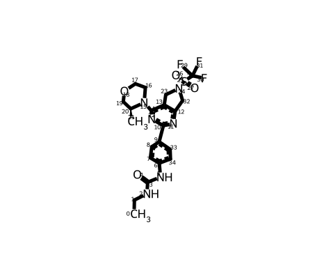 CCNC(=O)Nc1ccc(-c2nc3c(c(N4CCOC[C@@H]4C)n2)CN(S(=O)(=O)C(F)(F)F)C3)cc1